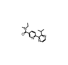 CCN(C)C(=O)c1ccc(-c2nccnc2C(C)C)nc1